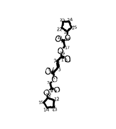 O=C(C=CC(=O)OCC(=O)OC1CCCC1)OCC(=O)OC1CCCC1